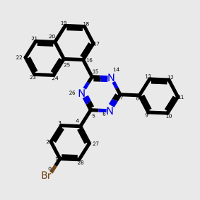 Brc1ccc(-c2nc(-c3ccccc3)nc(-c3cccc4ccccc34)n2)cc1